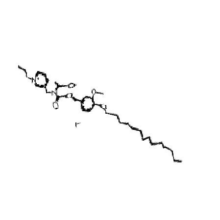 CCCCCCCCCCCCCCOc1ccc(COC(=O)N(Cc2ccc[n+](CCC)c2)C(C)=O)cc1OC.[I-]